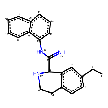 CCc1ccc2c(c1)C(C(=N)Nc1cccc3ccccc13)NCC2